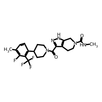 CNC(=O)N1CCc2c(C(=O)N3CCC(c4ccc(C)c(F)c4C(F)(F)F)CC3)n[nH]c2C1